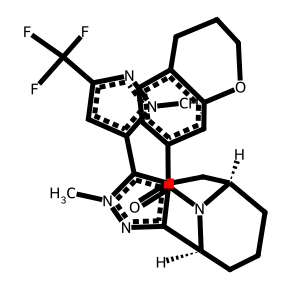 Cn1nc(C(F)(F)F)cc1-c1c2c(nn1C)[C@@H]1CCC[C@H](C2)N1C(=O)c1ccc2c(c1)OCCC2